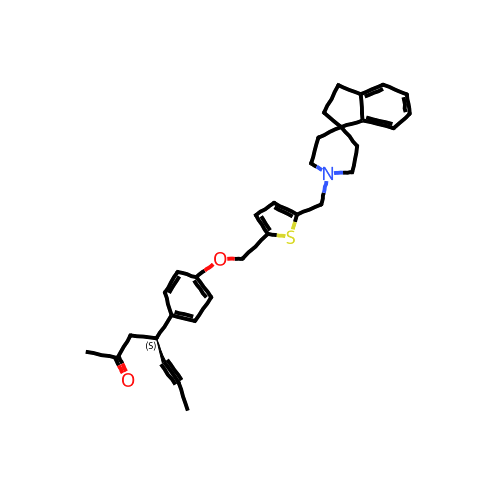 CC#C[C@@H](CC(C)=O)c1ccc(OCc2ccc(CN3CCC4(CCc5ccccc54)CC3)s2)cc1